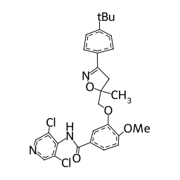 COc1ccc(C(=O)Nc2c(Cl)cncc2Cl)cc1OCC1(C)CC(c2ccc(C(C)(C)C)cc2)=NO1